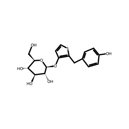 OC[C@H]1O[C@@H](Oc2ccsc2Cc2ccc(O)cc2)[C@H](O)[C@@H](O)[C@@H]1O